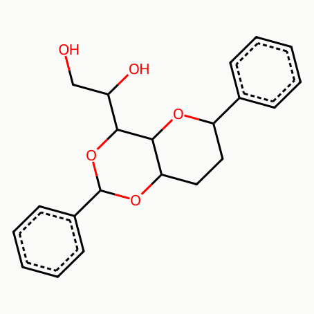 OCC(O)C1OC(c2ccccc2)OC2CCC(c3ccccc3)OC21